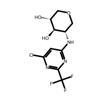 O[C@H]1[C@H](O)COC[C@@H]1Nc1cc(Cl)nc(C(F)(F)F)n1